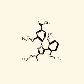 COC(=O)c1cc(-c2c(OC)cccc2OC)n(-c2ccc(C(=O)O)cc2OC)n1